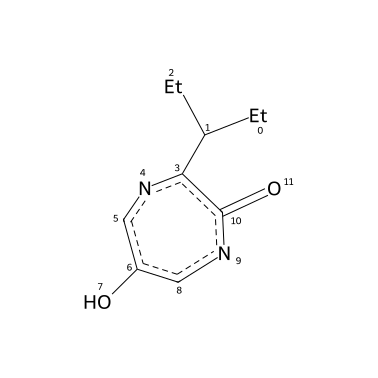 CCC(CC)c1ncc(O)cnc1=O